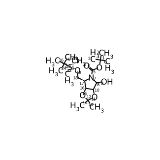 CC(C)(C)OC(=O)N1C(O)C2OC(C)(C)OC2[C@H]1CO[Si](C)(C)C(C)(C)C